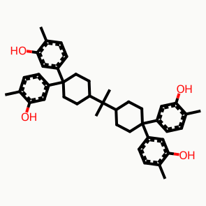 Cc1ccc(C2(c3ccc(C)c(O)c3)CCC(C(C)(C)C3CCC(c4ccc(C)c(O)c4)(c4ccc(C)c(O)c4)CC3)CC2)cc1O